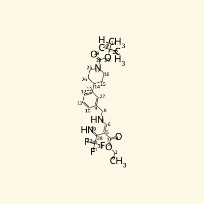 CCOC(=O)/C(=C/NCc1cccc(C2CCN(C(=O)OC(C)(C)C)CC2)c1)C(=N)C(F)(F)F